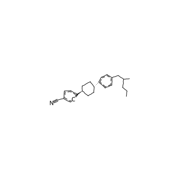 CCCC(C)Cc1ccc([C@H]2CC[C@H](c3ccc(C#N)cc3)CC2)cc1